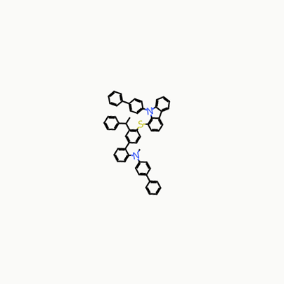 CC(c1ccccc1)c1cc(-c2ccccc2N(C)c2ccc(-c3ccccc3)cc2)ccc1Sc1cccc2c3ccccc3n(-c3ccc(-c4ccccc4)cc3)c12